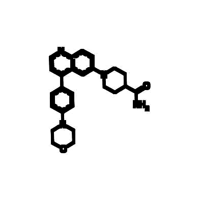 NC(=O)C1CCN(c2ccc3nccc(-c4ccc(N5CCOCC5)cc4)c3c2)CC1